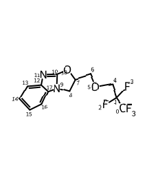 FC(F)(F)C(F)(F)COCC1Cn2c(nc3ccccc32)O1